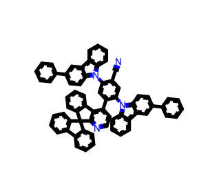 N#Cc1cc(-n2c3ccccc3c3cc(-c4ccccc4)ccc32)c(-c2ccnc3c2-c2ccccc2C32c3ccccc3-c3ccccc32)cc1-n1c2ccccc2c2cc(-c3ccccc3)ccc21